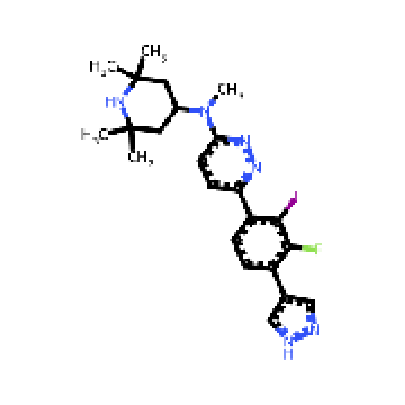 CN(c1ccc(-c2ccc(-c3cn[nH]c3)c(F)c2I)nn1)C1CC(C)(C)NC(C)(C)C1